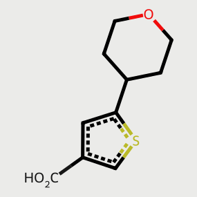 O=C(O)c1csc(C2CCOCC2)c1